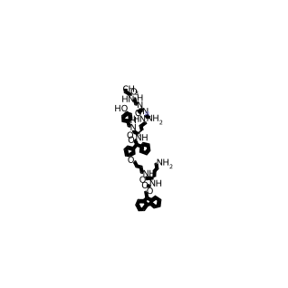 CCC(=O)NCCNC(=O)/N=C(/N)NCCC[C@@H](NC(=O)C(c1ccccc1)c1cccc(OCCCCNC(=O)[C@@H](CCCCN)NC(=O)OCC2c3ccccc3-c3ccccc32)c1)C(=O)NCc1ccc(O)cc1